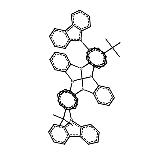 CC(C)(C)c1ccc(N2c3ccccc3N(c3ccc(C(C)(C)C)cc3)C23N(c2cccc(-n4c5ccccc5c5ccccc54)c2)c2ccccc2N3c2cccc(-n3c4ccccc4c4ccccc43)c2)cc1